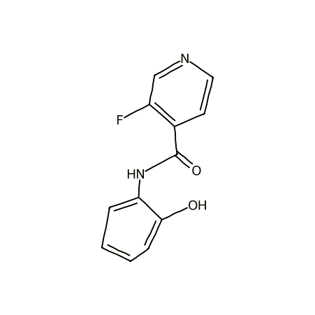 O=C(Nc1ccccc1O)c1ccncc1F